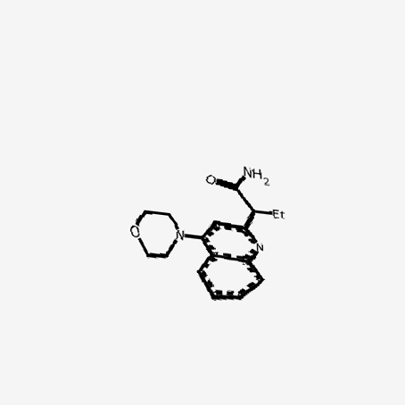 CCC(C(N)=O)c1cc(N2CCOCC2)c2ccccc2n1